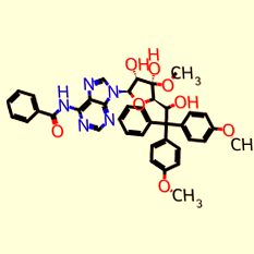 COc1ccc(C(c2ccccc2)(c2ccc(OC)cc2)C(O)[C@H]2O[C@@H](n3cnc4c(NC(=O)c5ccccc5)ncnc43)[C@H](O)[C@@]2(O)OC)cc1